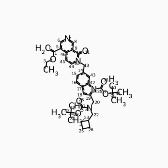 C=C(OCC)c1cncc2c(=O)n(Cc3ccc4cc(CN(CC5CCC5)C(=O)OC(C)(C)C)n(C(=O)OC(C)(C)C)c4c3)ccc12